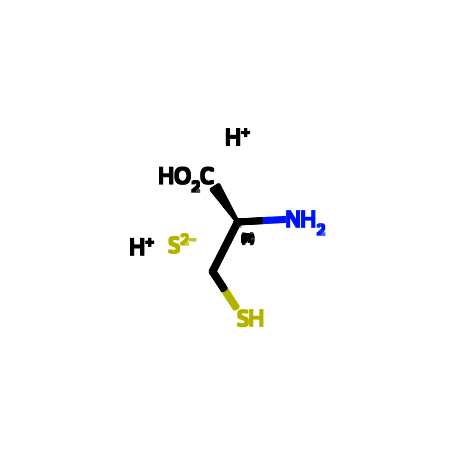 N[C@@H](CS)C(=O)O.[H+].[H+].[S-2]